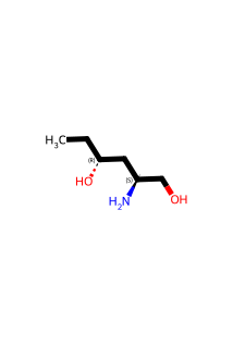 CC[C@@H](O)C[C@H](N)CO